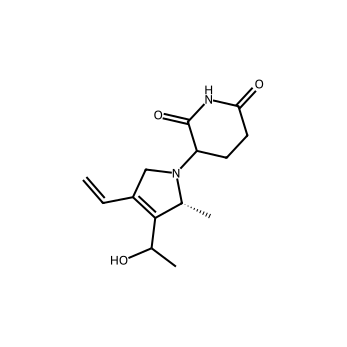 C=CC1=C(C(C)O)[C@@H](C)N(C2CCC(=O)NC2=O)C1